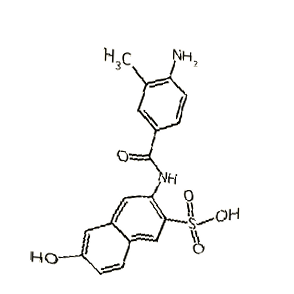 Cc1cc(C(=O)Nc2cc3cc(O)ccc3cc2S(=O)(=O)O)ccc1N